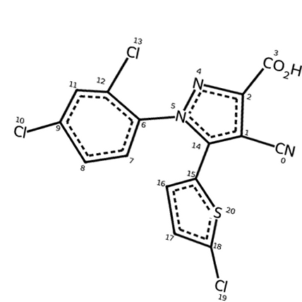 N#Cc1c(C(=O)O)nn(-c2ccc(Cl)cc2Cl)c1-c1ccc(Cl)s1